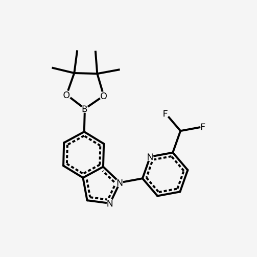 CC1(C)OB(c2ccc3cnn(-c4cccc(C(F)F)n4)c3c2)OC1(C)C